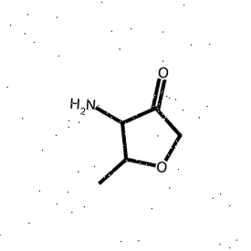 CC1OCC(=O)C1N